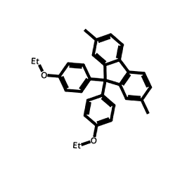 CCOc1ccc(C2(c3ccc(OCC)cc3)c3cc(C)ccc3-c3ccc(C)cc32)cc1